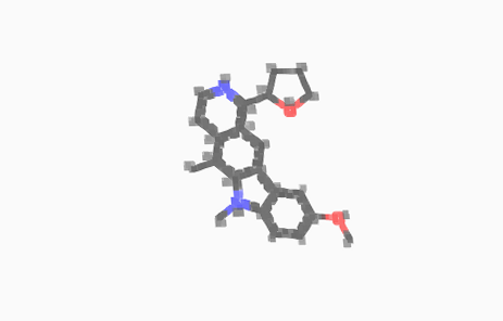 COc1ccc2c(c1)c1cc3c(C4CCCO4)nccc3c(C)c1n2C